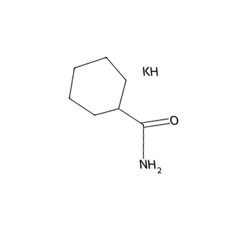 NC(=O)C1CCCCC1.[KH]